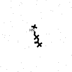 C=C(CC(C)(C)CCNC(C)(C)C)C(C)(C)C